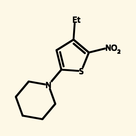 CCc1cc(N2CCCCC2)sc1[N+](=O)[O-]